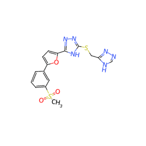 CS(=O)(=O)c1cccc(-c2ccc(-c3nnc(SCc4nnc[nH]4)[nH]3)o2)c1